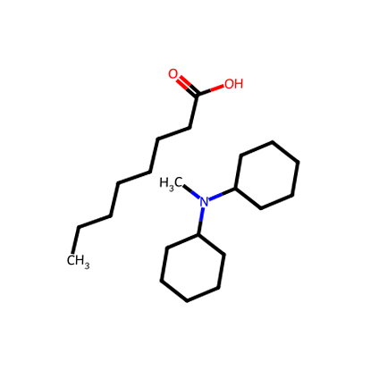 CCCCCCCC(=O)O.CN(C1CCCCC1)C1CCCCC1